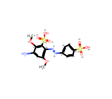 COc1cc(N)c(OC)c(S(=O)(=O)O)c1/N=N/c1ccc(S(=O)(=O)O)cc1